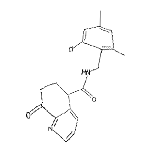 Cc1cc(C)c(CNC(=O)C2CCC(=O)c3ncccc32)c(Cl)c1